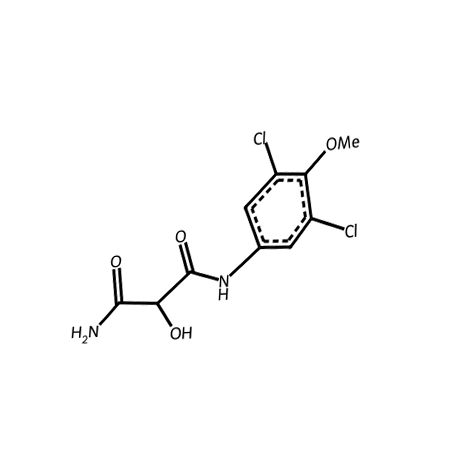 COc1c(Cl)cc(NC(=O)C(O)C(N)=O)cc1Cl